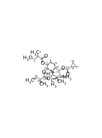 CCC(C)C(=O)Oc1ccc(C(OC(=O)C2CC2)C(N)C(C)(C)C)cc1OC(=O)C(C)CC